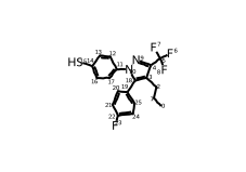 CCCc1c(C(F)(F)F)nn(-c2ccc(S)cc2)c1-c1ccc(F)cc1